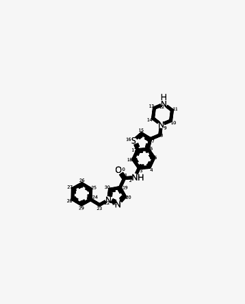 O=C(Nc1ccc2c(CN3CCNCC3)csc2c1)c1cnn(Cc2ccccc2)c1